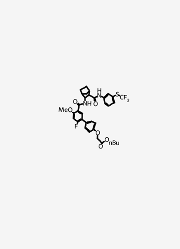 CCCCOC(=O)COc1ccc(-c2cc(C(=O)NC3C4CCC(C4)C3C(=O)Nc3cccc(SC(F)(F)F)c3)c(OC)cc2F)cc1